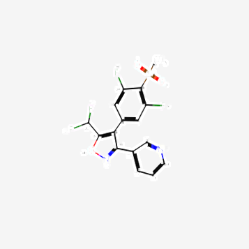 CS(=O)(=O)c1c(F)cc(-c2c(-c3cccnc3)noc2C(F)F)cc1F